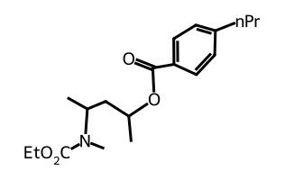 CCCc1ccc(C(=O)OC(C)CC(C)N(C)C(=O)OCC)cc1